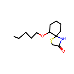 CCCCCOC1CCCCC12NC(=O)CS2